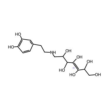 OCC(O)/C(O)=C(\O)C(O)C(O)CNCCc1ccc(O)c(O)c1